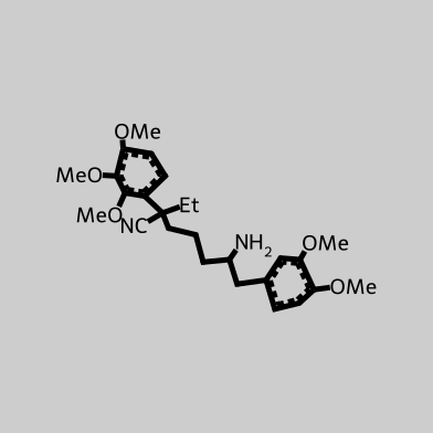 CCC(C#N)(CCCC(N)Cc1ccc(OC)c(OC)c1)c1ccc(OC)c(OC)c1OC